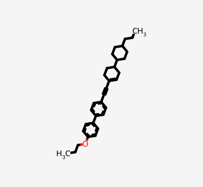 CCCOc1ccc(-c2ccc(C#CC3=CCC(C4CCC(CCC)CC4)CC3)cc2)cc1